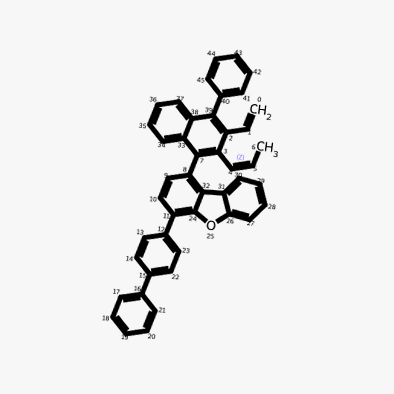 C=Cc1c(/C=C\C)c(-c2ccc(-c3ccc(-c4ccccc4)cc3)c3oc4ccccc4c23)c2ccccc2c1-c1ccccc1